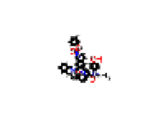 C[C@@H]1Cc2ccccc2CN1C(=O)c1cc2c(cc1-c1cc(C(=O)N(C)c3ccc(O)cc3)c3ccccn13)CCN(C(=O)Oc1ccccc1)C2